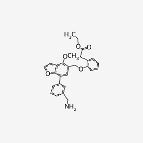 CCOC(=O)Cc1ccccc1OCc1cc(-c2cccc(CN)c2)c2occc2c1OC